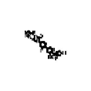 N#C[C@]1(c2ccc(-c3ccc(N4C[C@H](Cn5nncc5F)OC4=O)cc3F)cn2)[C@@H]2CNC[C@@H]21